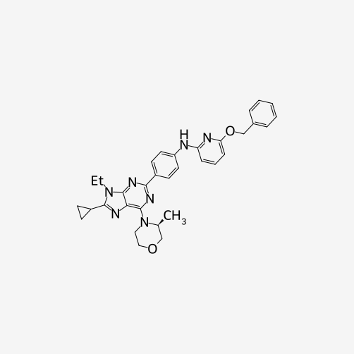 CCn1c(C2CC2)nc2c(N3CCOC[C@@H]3C)nc(-c3ccc(Nc4cccc(OCc5ccccc5)n4)cc3)nc21